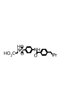 CC(C)Cc1ccc(C(=O)Nc2ccc(S(=O)(=O)NCC(=O)O)cc2)cc1